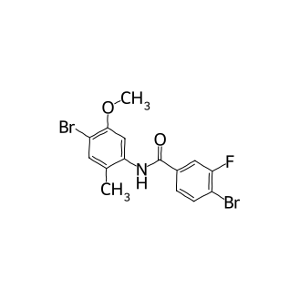 COc1cc(NC(=O)c2ccc(Br)c(F)c2)c(C)cc1Br